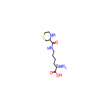 N[C@H](CCCCNC(=O)C1CSCCN1)C(=O)O